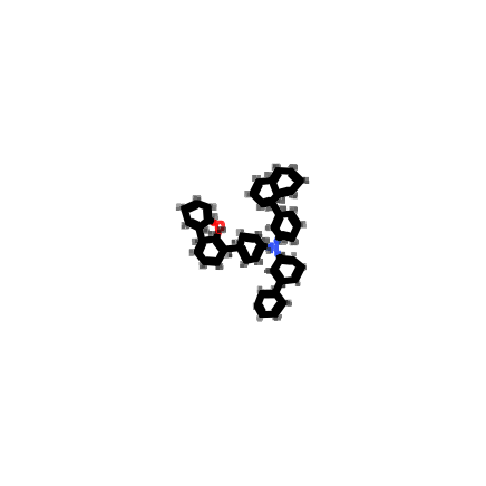 c1ccc(-c2cccc(N(c3ccc(-c4cccc5c4oc4ccccc45)cc3)c3cccc(-c4cccc5ccccc45)c3)c2)cc1